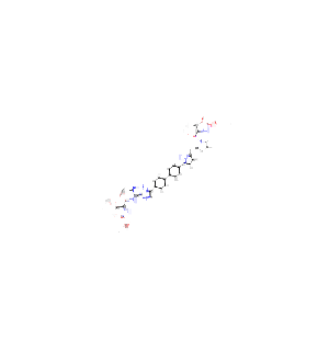 COC(=O)N[C@H](C(=O)N1CCC[C@H]1Cc1ccc(-c2ccc(-c3ccc(-c4cnc([C@@H](NC(=O)[C@@H](NC(=O)OC)[C@@H](C)OC)C(C)C)[nH]4)cc3)cc2)[nH]1)C(C)C